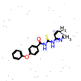 C/C=C\C(=N/C)NC(=S)NC(=O)c1ccc(Oc2ccccc2)cc1